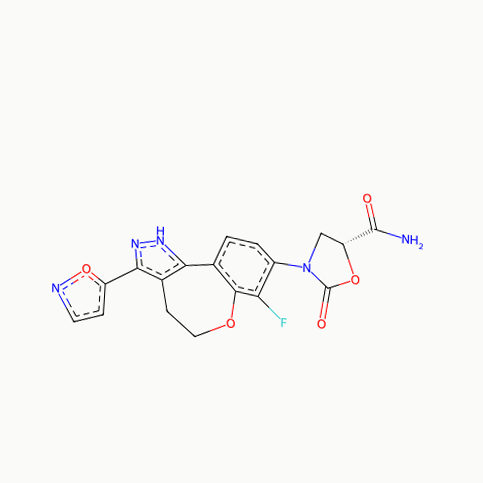 NC(=O)[C@H]1CN(c2ccc3c(c2F)OCCc2c(-c4ccno4)n[nH]c2-3)C(=O)O1